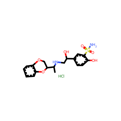 CC(NCC(O)c1ccc(O)c(S(N)(=O)=O)c1)C1COc2ccccc2O1.Cl